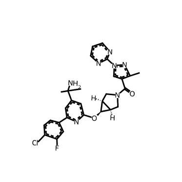 Cc1nn(-c2ncccn2)cc1C(=O)N1C[C@@H]2[C@H](C1)[C@@H]2Oc1cc(C(C)(C)N)cc(-c2ccc(Cl)c(F)c2)n1